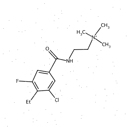 CCc1c(F)cc(C(=O)NCC[N+](C)(C)C)cc1Cl